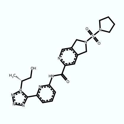 C[C@H](CO)n1nnnc1-c1cccc(NC(=O)c2cc3c(cn2)CN(S(=O)(=O)N2CCCC2)C3)n1